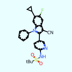 CC(C)(C)S(=O)(=O)Nc1ccc(-c2c(C#N)c3cc(F)c(C4CC4)cc3n2-c2ccccc2)cn1